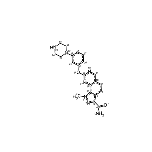 Cn1nc(C(N)=O)c2ccc3cnc(Oc4cccc(N5CCNCC5)c4)nc3c21